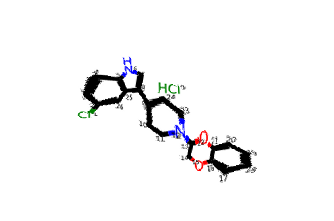 Cl.Clc1ccc2[nH]cc(C3CCN(C4COc5ccccc5O4)CC3)c2c1